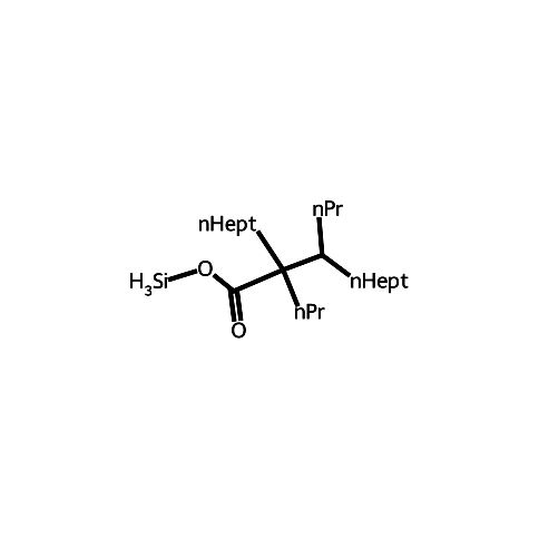 CCCCCCCC(CCC)C(CCC)(CCCCCCC)C(=O)O[SiH3]